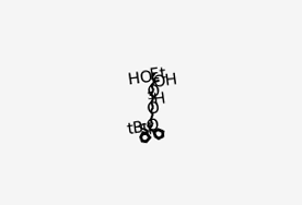 [3H]C(COCCCO[Si](c1ccccc1)(c1ccccc1)C(C)(C)C)COCC(O)C(O)CC